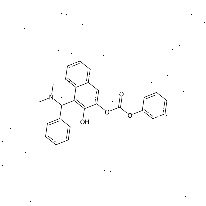 CN(C)C(c1ccccc1)c1c(O)c(OC(=O)Oc2ccccc2)cc2ccccc12